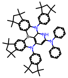 CC1(C)CC(C)(C)c2cc(N3C4=C5B(c6cc7c(cc63)C(C)(C)CC7(C)C)c3cc6c(cc3N(c3ccc7c(c3)C(C)(C)CC7(C)C)C5NC(N(c3ccccc3)c3ccccc3)=C4)C(C)(C)CC6(C)C)ccc21